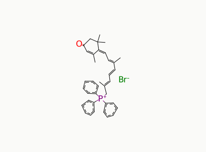 CC(C=CC=C(C)C[P+](c1ccccc1)(c1ccccc1)c1ccccc1)=CC=C1C(C)=CC(=O)CC1(C)C.[Br-]